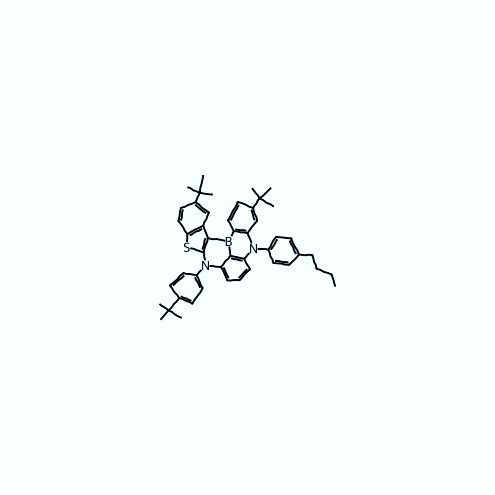 CCCCc1ccc(N2c3cc(C(C)(C)C)ccc3B3c4c2cccc4N(c2ccc(C(C)(C)C)cc2)c2sc4ccc(C(C)(C)C)cc4c23)cc1